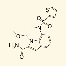 COCn1c(C(N)=O)cc2cccc(N(C)S(=O)(=O)c3cccs3)c21